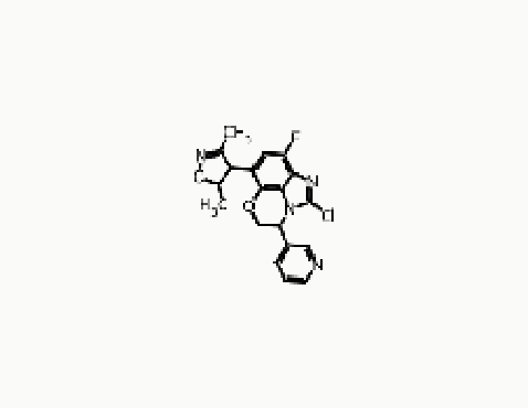 CC1=NOC(C)C1c1cc(F)c2nc(Cl)n3c2c1OCC3c1cccnc1